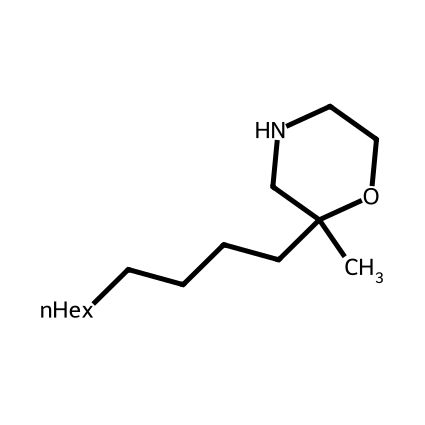 CCCCCCCCCCC1(C)CNCCO1